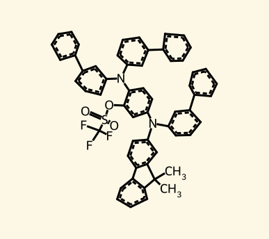 CC1(C)c2ccccc2-c2ccc(N(c3cccc(-c4ccccc4)c3)c3ccc(N(c4cccc(-c5ccccc5)c4)c4cccc(-c5ccccc5)c4)c(OS(=O)(=O)C(F)(F)F)c3)cc21